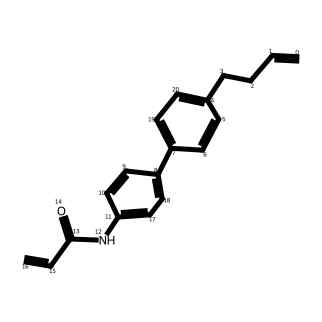 C=CCCc1ccc(-c2ccc(NC(=O)C=C)cc2)cc1